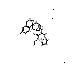 CCOC(=O)C(CN1C2CCC1CC1(C2)OCCc2cc(F)ccc21)Cn1cccn1